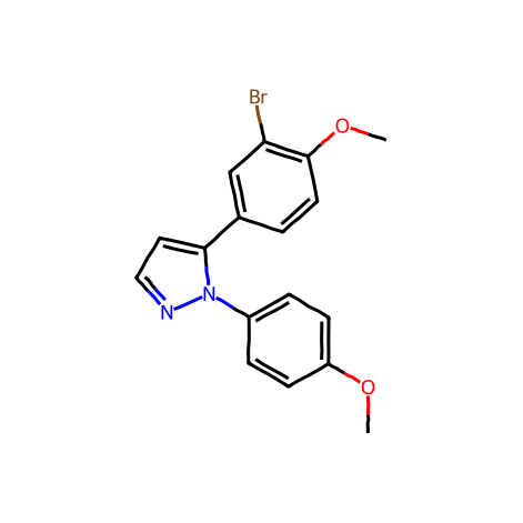 COc1ccc(-n2nccc2-c2ccc(OC)c(Br)c2)cc1